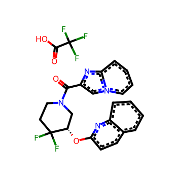 O=C(O)C(F)(F)F.O=C(c1cn2ccccc2n1)N1CCC(F)(F)[C@@H](Oc2ccc3ccccc3n2)C1